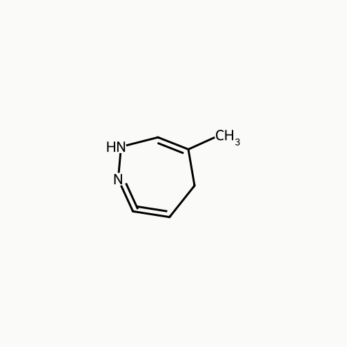 CC1=CNN=C=CC1